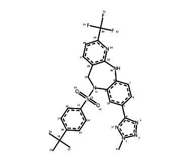 Cn1nnc(-c2ccc3c(c2)N(S(=O)(=O)c2ccc(C(C)(C)C)cc2)Cc2ccc(C(F)(F)F)nc2N3)n1